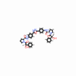 C[C@](O)(C(=O)N1CCC[C@H]1C(=O)Nc1ccc(-c2nnc(-c3ccc(NC(=O)[C@@H]4CCCN4C(=O)[C@](C)(O)c4ccccc4)cc3)o2)cc1)c1ccccc1